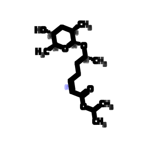 CC(C)OC(=O)/C=C\CC[C@@H](C)O[C@@H]1O[C@@H](C)[C@H](O)C[C@H]1C